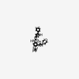 O=C(CN1CCOCC1)Nc1cc(NC(=O)Oc2cc(-c3ccccc3)[nH]n2)ccc1OC(F)(F)F